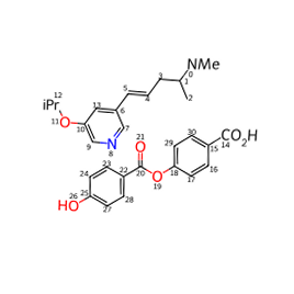 CNC(C)C/C=C/c1cncc(OC(C)C)c1.O=C(O)c1ccc(OC(=O)c2ccc(O)cc2)cc1